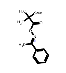 CSC(C)(C)C(=O)O/N=C(\C)c1ccccc1